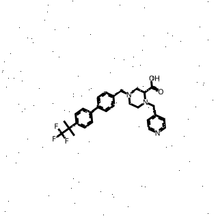 CC(C)(c1ccc(-c2ccc(CN3CCN(Cc4ccncc4)C(C(=O)O)C3)cc2)cc1)C(F)(F)F